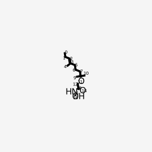 CC/C=C(\C)CCCC(C)(C)OCC(=O)NO